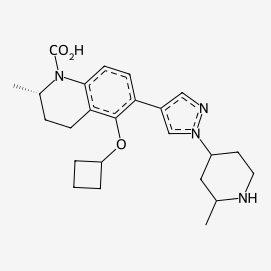 CC1CC(n2cc(-c3ccc4c(c3OC3CCC3)CC[C@H](C)N4C(=O)O)cn2)CCN1